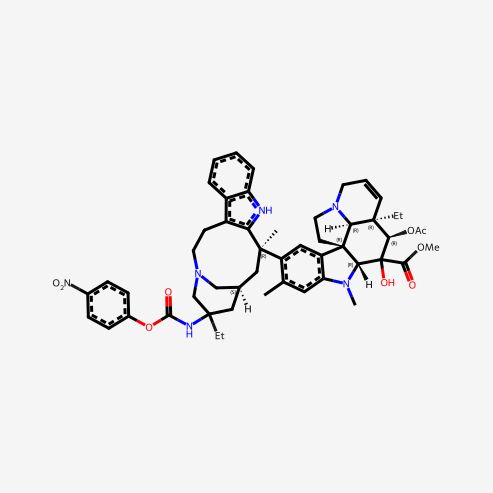 CCC1(NC(=O)Oc2ccc([N+](=O)[O-])cc2)C[C@H]2CN(CCc3c([nH]c4ccccc34)[C@@](C)(c3cc4c(cc3C)N(C)[C@H]3C(O)(C(=O)OC)[C@H](OC(C)=O)[C@]5(CC)C=CCN6CC[C@]43[C@@H]65)C2)C1